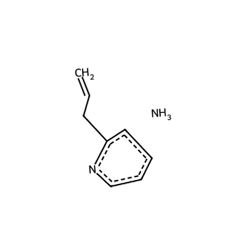 C=CCc1ccccn1.N